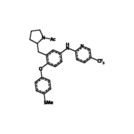 CSc1ccc(Oc2ccc(Nc3ccc(C(F)(F)F)cn3)cc2CC2CCCN2C(C)=O)cc1